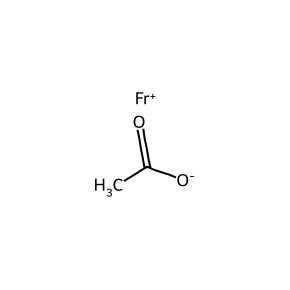 CC(=O)[O-].[Fr+]